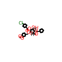 O=C(O[C@H]1[C@H](OCc2ccc3c(c2)OCO3)O[C@@H]2COC(c3ccccc3)O[C@@H]2[C@@H]1O)c1ccc(Cl)cc1